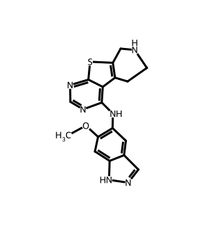 COc1cc2[nH]ncc2cc1Nc1ncnc2sc3c(c12)CCNC3